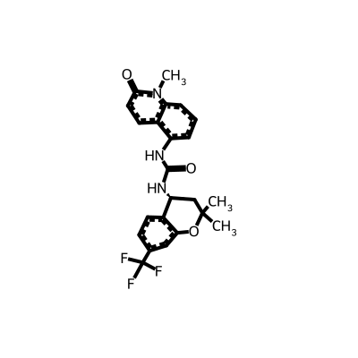 Cn1c(=O)ccc2c(NC(=O)N[C@@H]3CC(C)(C)Oc4cc(C(F)(F)F)ccc43)cccc21